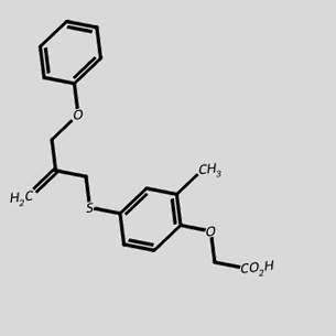 C=C(COc1ccccc1)CSc1ccc(OCC(=O)O)c(C)c1